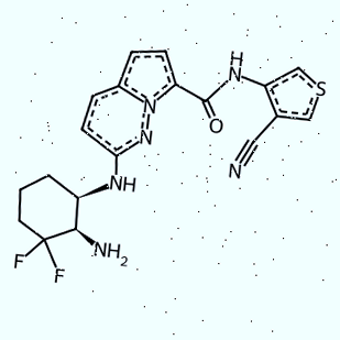 N#Cc1cscc1NC(=O)c1ccc2ccc(N[C@@H]3CCCC(F)(F)[C@@H]3N)nn12